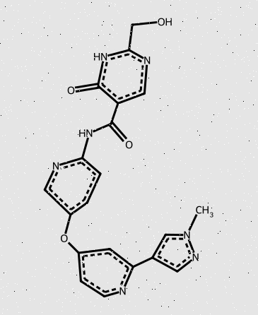 Cn1cc(-c2cc(Oc3ccc(NC(=O)c4cnc(CO)[nH]c4=O)nc3)ccn2)cn1